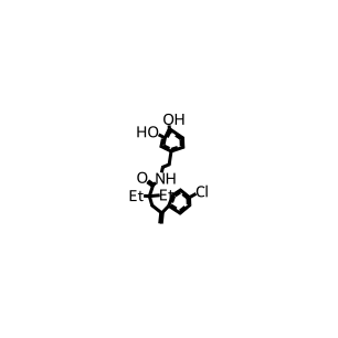 C=C(CC(CC)(CC)C(=O)NCCc1ccc(O)c(O)c1)c1ccc(Cl)cc1